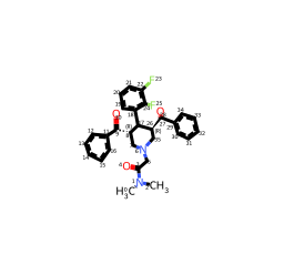 CN(C)C(=O)CN1C[C@H](C(=O)c2ccccc2)C(c2cccc(F)c2F)[C@@H](C(=O)c2ccccc2)C1